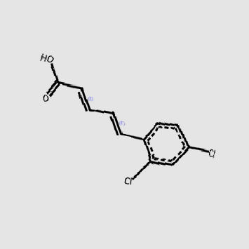 O=C(O)/C=C/C=C/c1ccc(Cl)cc1Cl